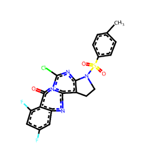 Cc1ccc(S(=O)(=O)N2CCc3c2nc(Cl)n2c(=O)c4c(F)cc(F)cc4nc32)cc1